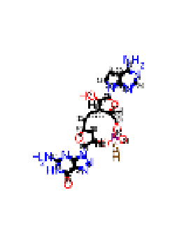 Nc1nc2c(nnn2[C@@H]2OC3CC[C@H]4[C@@H](O)[C@H](n5ccc6c(N)ncnc65)O[C@@H]4COP(=O)(S)O[C@@H]2C3)c(=O)[nH]1